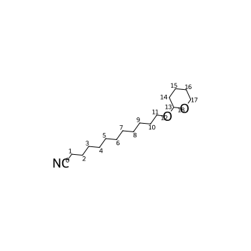 N#CCCCCCCCCCCCOC1CCCCO1